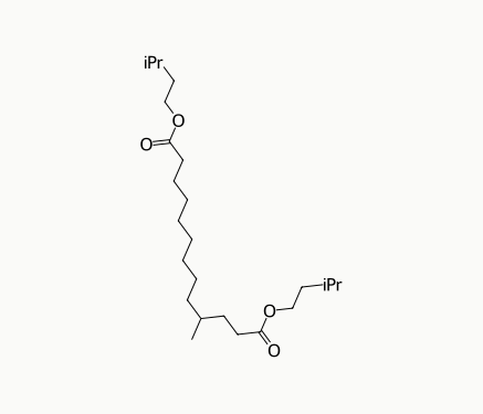 CC(C)CCOC(=O)CCCCCCCCC(C)CCC(=O)OCCC(C)C